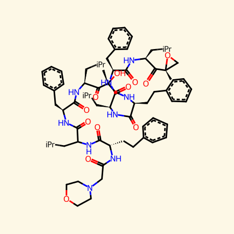 CC(C)CC(NC(=O)[C@H](CCc1ccccc1)NC(=O)CN1CCOCC1)C(=O)N[C@@H](Cc1ccccc1)C(=O)N[C@@H](CC(C)C)C(=O)[C@](C)(O)CN[C@@H](CCc1ccccc1)C(=O)N[C@@H](CC(C)C)C(=O)N[C@@H](Cc1ccccc1)C(=O)N[C@@H](CC(C)C)C(=O)[C@@]1(C)CO1